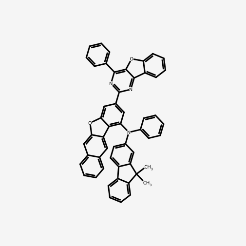 CC1(C)c2ccccc2-c2ccc(N(c3ccccc3)c3cc(-c4nc(-c5ccccc5)c5oc6ccccc6c5n4)cc4oc5cc6ccccc6cc5c34)cc21